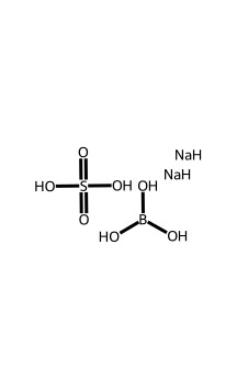 O=S(=O)(O)O.OB(O)O.[NaH].[NaH]